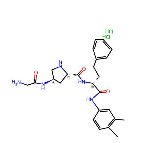 Cc1ccc(NC(=O)[C@@H](CCc2ccccc2)NC(=O)[C@@H]2C[C@@H](NC(=O)CN)CN2)cc1C.Cl.Cl